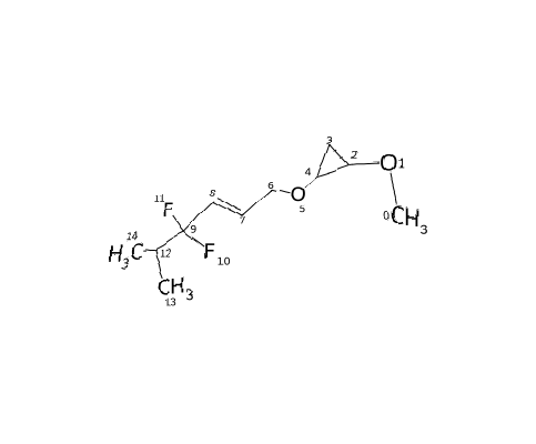 COC1CC1OC/C=C/C(F)(F)C(C)C